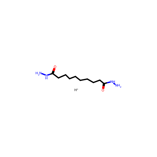 NNC(=O)CCCCCCCCC(=O)NN.[H+]